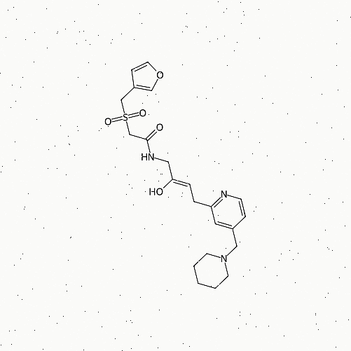 O=C(CS(=O)(=O)Cc1ccoc1)NCC(O)=CCc1cc(CN2CCCCC2)ccn1